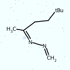 C=N/N=C(/C)CCC(C)(C)C